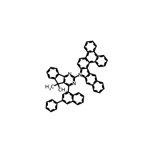 CC1(C)c2ccccc2-c2nc(-n3c4cc5ccccc5cc4c4c5c6ccccc6c6ccccc6c5ccc43)nc(-c3cc(-c4ccccc4)cc4ccccc34)c21